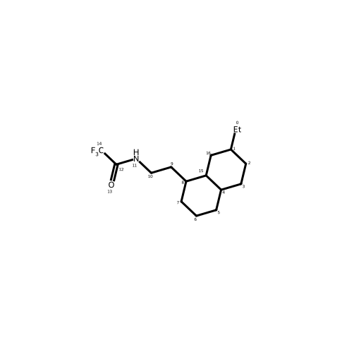 CCC1CCC2CCCC(CCNC(=O)C(F)(F)F)C2C1